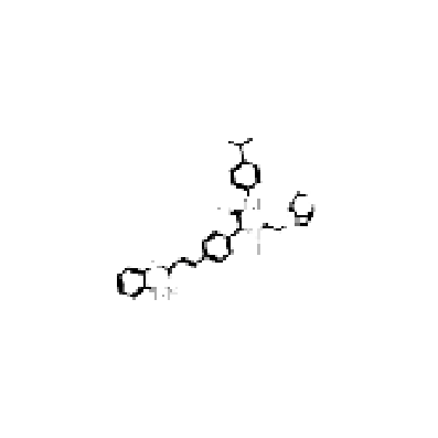 CC(C)c1ccc(NC(=O)[C@@H](NCCN2CC3CC2CO3)c2ccc(/C=C/C(=O)Nc3ccccc3N)cc2)cc1